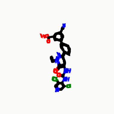 CCn1nc(-c2cccc(-c3cc(C#N)cc(C(=O)O)c3)c2)cc(NC(=O)Nc2c(Cl)cncc2Cl)c1=O